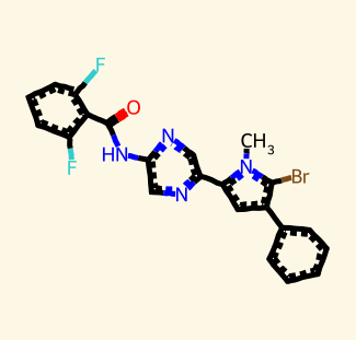 Cn1c(-c2cnc(NC(=O)c3c(F)cccc3F)cn2)cc(-c2ccccc2)c1Br